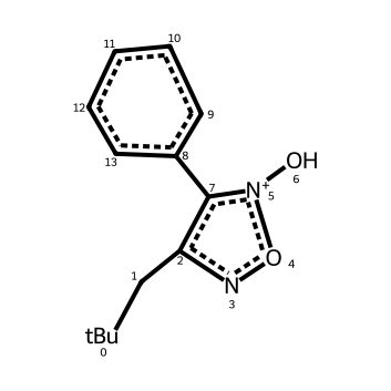 CC(C)(C)Cc1no[n+](O)c1-c1ccccc1